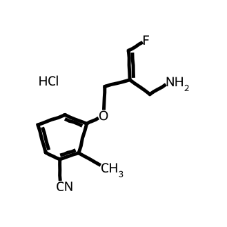 Cc1c(C#N)cccc1OCC(=CF)CN.Cl